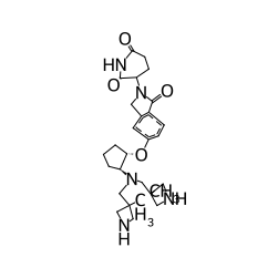 CC1(CN(CC2(C)CNC2)[C@H]2CCC[C@@H]2Oc2ccc3c(c2)CN(C2CCC(=O)NC2=O)C3=O)CNC1